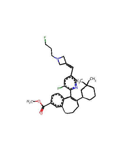 COC(=O)c1ccc2c(c1)CCCC(C1CCCC(C)(C)C1)=C2c1ncc(C=C2CN(CCCF)C2)cc1F